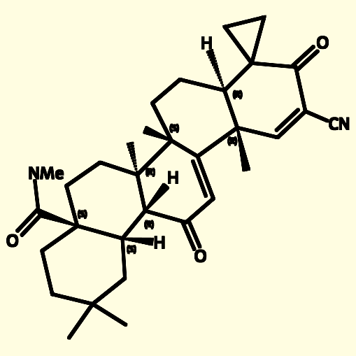 CNC(=O)[C@]12CCC(C)(C)C[C@H]1[C@H]1C(=O)C=C3[C@@]4(C)C=C(C#N)C(=O)C5(CC5)[C@@H]4CC[C@@]3(C)[C@]1(C)CC2